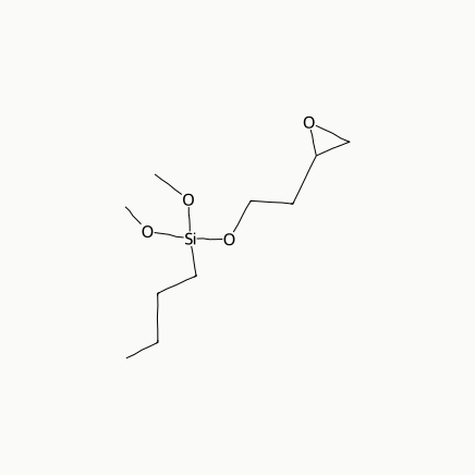 CCCC[Si](OC)(OC)OCCC1CO1